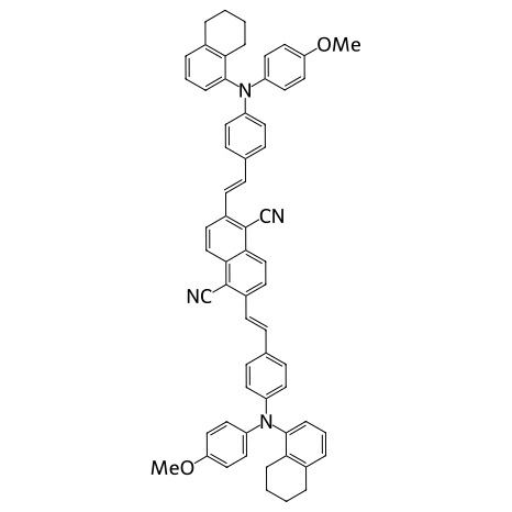 COc1ccc(N(c2ccc(C=Cc3ccc4c(C#N)c(C=Cc5ccc(N(c6ccc(OC)cc6)c6cccc7c6CCCC7)cc5)ccc4c3C#N)cc2)c2cccc3c2CCCC3)cc1